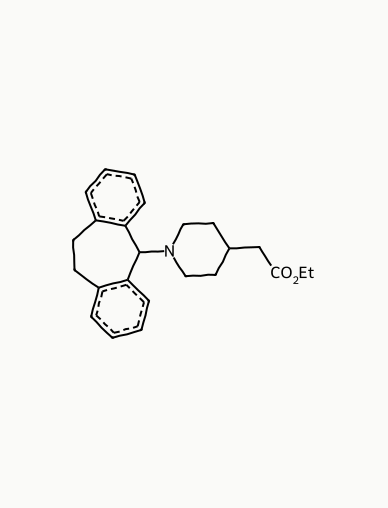 CCOC(=O)CC1CCN(C2c3ccccc3CCc3ccccc32)CC1